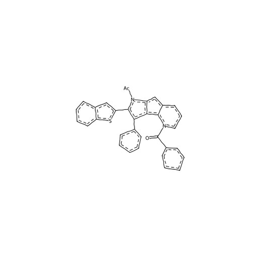 CC(=O)n1c(-c2cc3ccccc3s2)c(-c2ccccc2)c2c3n(C(=O)c4ccccc4)cccc-3cc21